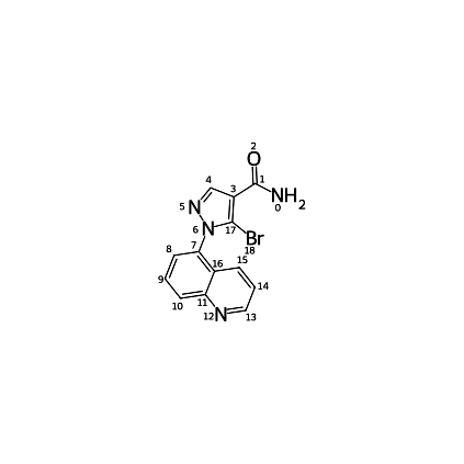 NC(=O)c1cnn(-c2cccc3ncccc23)c1Br